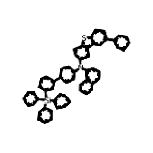 c1ccc(-c2ccc3sc4ccc(N(c5ccc(-c6cccc([Si](c7ccccc7)(c7ccccc7)c7ccccc7)c6)cc5)c5cccc6ccccc56)cc4c3c2)cc1